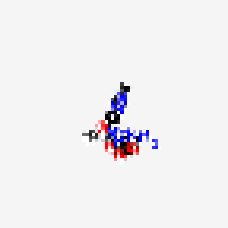 CC(C)(C)C(NC(=O)c1ccc(N2CCN(C3CC3)CC2)cc1)C(=O)N1C[C@@H](N)[C@H]2OCC(=O)[C@H]21